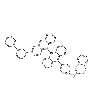 c1ccc(-c2cccc(-c3ccc4c(-c5c6ccccc6c(-c6ccc7oc8ccc9ccccc9c8c7c6)c6ccccc56)c5ccccc5cc4c3)c2)cc1